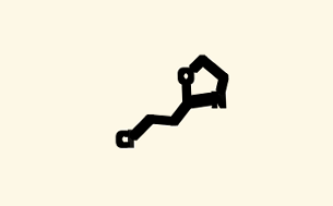 ClCCC1=NCCO1